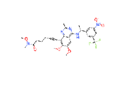 COc1cc2c(NC(C)c3cc([N+](=O)[O-])cc(C(F)(F)F)c3)nc(C)nc2c(C#CCCCC(=O)N(C)OC)c1OC